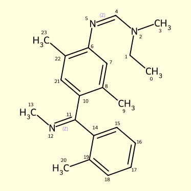 CCN(C)/C=N\c1cc(C)c(/C(=N\C)c2ccccc2C)cc1C